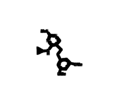 COc1cc(CCc2cnc(SC)nc2NC2CC2)cc(OC)c1